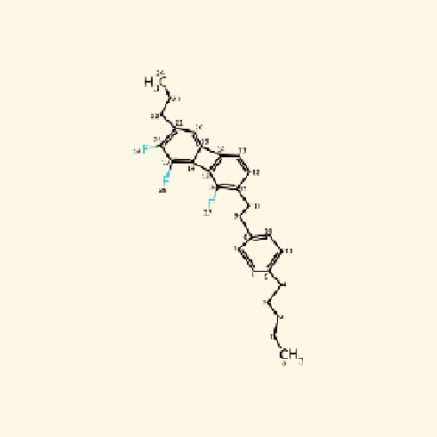 CCCCCc1ccc(CCc2ccc3c(c2F)-c2c-3cc(CCC)c(F)c2F)cc1